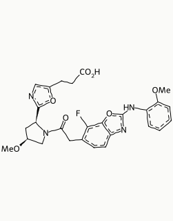 COc1ccccc1Nc1nc2ccc(CC(=O)N3C[C@@H](OC)C[C@H]3c3ncc(CCC(=O)O)o3)c(F)c2o1